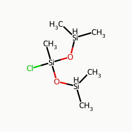 C[SiH](C)O[Si](C)(Cl)O[SiH](C)C